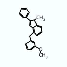 COc1cccc(Cc2cccc3c2C=C(c2ccccc2)C3C)c1